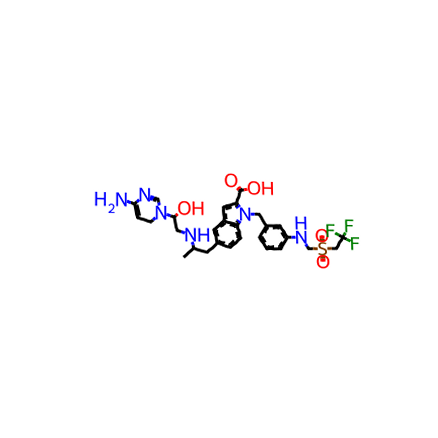 CC(Cc1ccc2c(c1)cc(C(=O)O)n2Cc1cccc(NCS(=O)(=O)CC(F)(F)F)c1)NCC(O)N1C=NC(N)=CC1